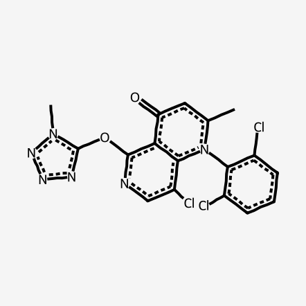 Cc1cc(=O)c2c(Oc3nnnn3C)ncc(Cl)c2n1-c1c(Cl)cccc1Cl